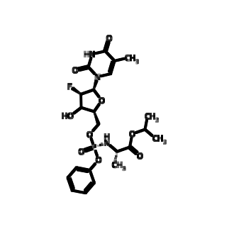 Cc1cn([C@H]2O[C@@H](CO[P@@](=O)(N[C@@H](C)C(=O)OC(C)C)Oc3ccccc3)C(O)[C@H]2F)c(=O)[nH]c1=O